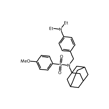 CCN(CC)c1ccc(CN(C23CC4CC(CC(C4)C2)C3)S(=O)(=O)c2ccc(OC)cc2)cc1